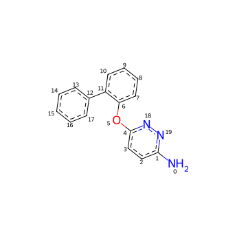 Nc1ccc(Oc2ccccc2-c2ccccc2)nn1